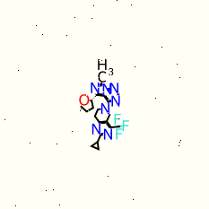 Cc1nc([C@@H]2CCCO2)c2c(N3CCc4nc(C5CC5)nc(C(F)(F)F)c4C3)ncnn12